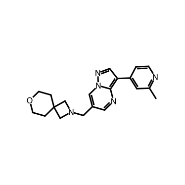 Cc1cc(-c2cnn3cc(CN4CC5(CCOCC5)C4)cnc23)ccn1